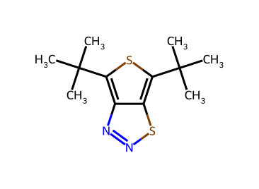 CC(C)(C)c1sc(C(C)(C)C)c2snnc12